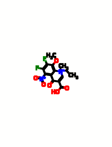 CC[N+]1(C)C=C(C(=O)O)C(=O)c2c([N+](=O)[O-])c(F)c(F)c(OC)c21